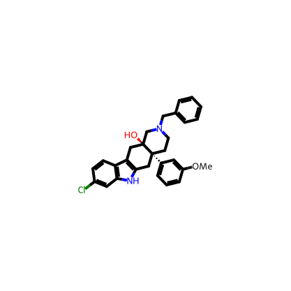 COc1cccc([C@@]23CCN(Cc4ccccc4)C[C@@]2(O)Cc2c([nH]c4cc(Cl)ccc24)C3)c1